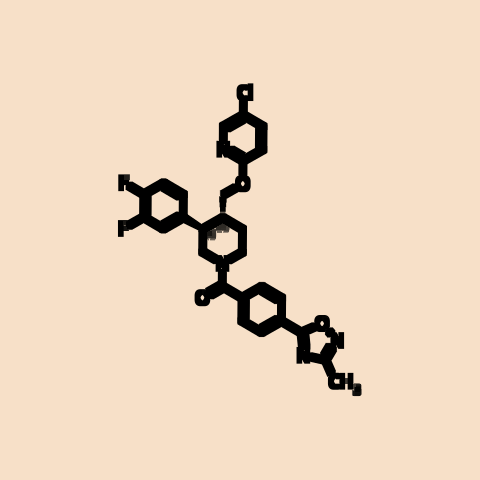 Cc1noc(-c2ccc(C(=O)N3CC[C@@H](COc4ccc(Cl)cn4)[C@H](c4ccc(F)c(F)c4)C3)cc2)n1